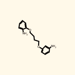 Nc1cccc(OCCCCOc2ccccc2N)c1